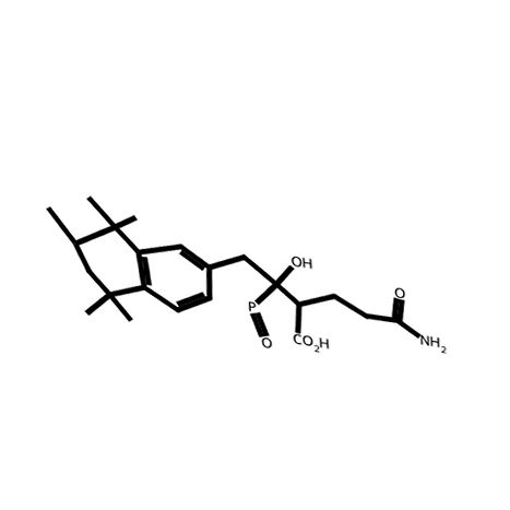 CC1CC(C)(C)c2ccc(CC(O)(P=O)C(CCC(N)=O)C(=O)O)cc2C1(C)C